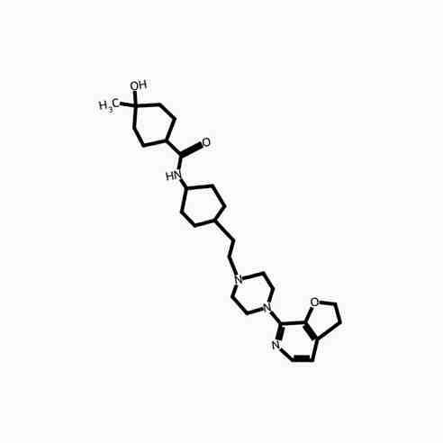 CC1(O)CCC(C(=O)NC2CCC(CCN3CCN(c4nccc5c4OCC5)CC3)CC2)CC1